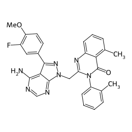 COc1ccc(-c2nn(Cc3nc4cccc(C)c4c(=O)n3-c3ccccc3C)c3ncnc(N)c23)cc1F